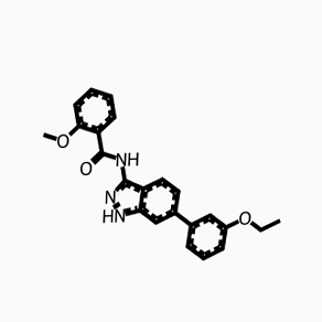 CCOc1cccc(-c2ccc3c(NC(=O)c4ccccc4OC)n[nH]c3c2)c1